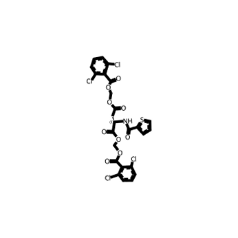 O=C(C[C@H](NC(=O)c1cccs1)C(=O)OCOC(=O)c1c(Cl)cccc1Cl)OCOC(=O)c1c(Cl)cccc1Cl